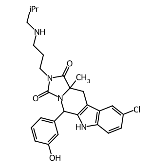 CC(C)CNCCCN1C(=O)N2C(c3cccc(O)c3)c3[nH]c4ccc(Cl)cc4c3CC2(C)C1=O